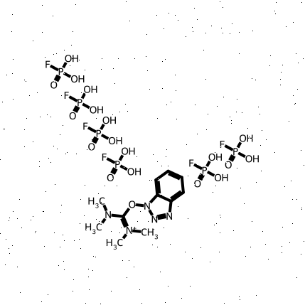 CN(C)C(On1nnc2ccccc21)=[N+](C)C.O=P(O)(O)F.O=P(O)(O)F.O=P(O)(O)F.O=P(O)(O)F.O=P(O)(O)F.O=P(O)(O)F